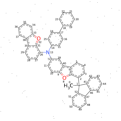 CC1(c2cccc3c2oc2ccc(N(c4ccc(-c5ccccc5)cc4)c4cccc5c4oc4ccccc45)cc23)c2ccccc2-c2ccccc21